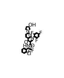 O=C(NC(c1ccccc1Cl)C(F)(F)F)c1cn(-c2c(F)cc(F)cc2F)c2nc(N3CCC(O)C3)ccc2c1=O